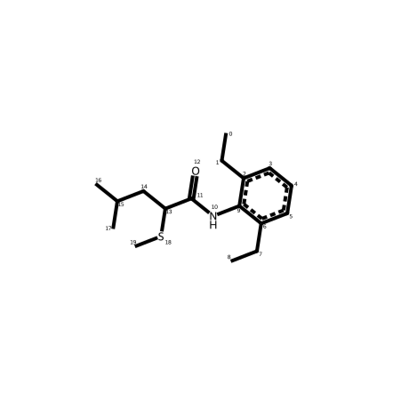 CCc1cccc(CC)c1NC(=O)C(CC(C)C)SC